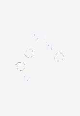 N#Cc1cccc(-c2ccc(C(CN)C3CCN(Cc4ccccc4)CC3)cc2)c1